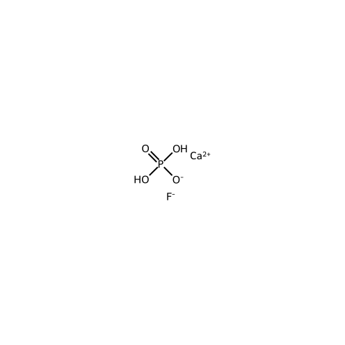 O=P([O-])(O)O.[Ca+2].[F-]